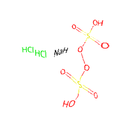 Cl.Cl.O=S(=O)(O)OOS(=O)(=O)O.[NaH]